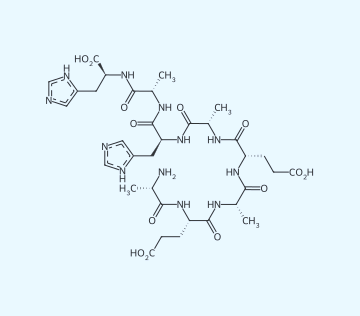 C[C@H](N)C(=O)N[C@@H](CCC(=O)O)C(=O)N[C@@H](C)C(=O)N[C@@H](CCC(=O)O)C(=O)N[C@@H](C)C(=O)N[C@@H](Cc1cnc[nH]1)C(=O)N[C@@H](C)C(=O)N[C@@H](Cc1cnc[nH]1)C(=O)O